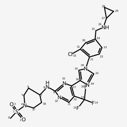 CS(=O)(=O)N1CCC(Nc2ncc(C(F)(F)F)c(-c3cn(-c4ccc(CNC5CC5)cc4Cl)cn3)n2)CC1